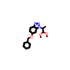 COC(OC)C(C)n1nnc2ccc(OCc3ccccc3)cc21